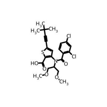 COCC(COC)N(C(=O)c1ccc(Cl)cc1Cl)c1cc(C#CC(C)(C)C)sc1C(=O)O